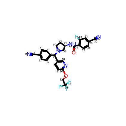 N#Cc1ccc(C(c2ccc(OCC(F)(F)F)nc2)N2CC[C@@H](NC(=O)c3ccc(C#N)cc3F)C2)cc1